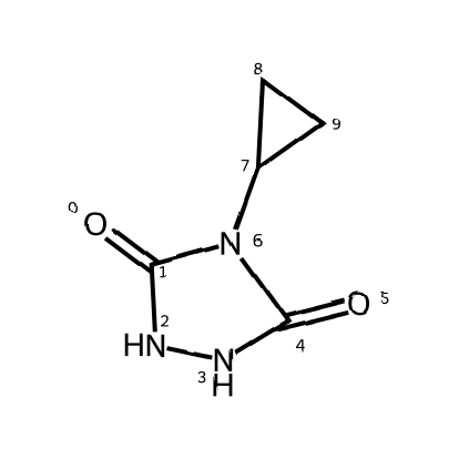 O=c1[nH][nH]c(=O)n1C1CC1